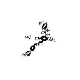 COc1cc(CCNCc2ccc(N3CCNCC3)cc2)c(Cl)cc1NC(=O)Nc1cnc(C#N)cn1.Cl